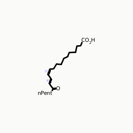 CCCCCC(=O)/C=C/C=C\CCCCCCCCCC(=O)O